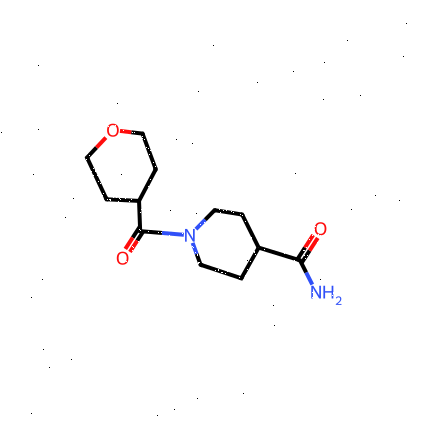 NC(=O)C1CCN(C(=O)C2CCOCC2)CC1